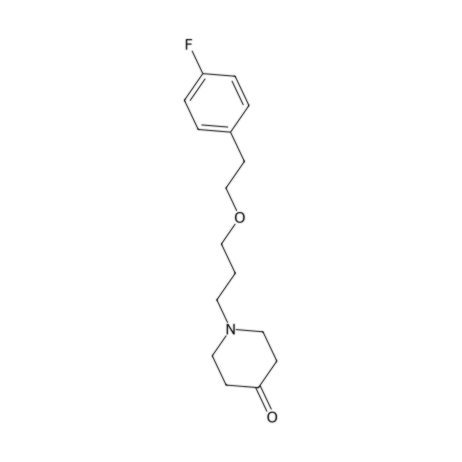 O=C1CCN(CCCOCCc2ccc(F)cc2)CC1